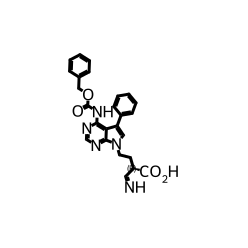 N=C[C@@H](CCn1cc(-c2ccccc2)c2c(NC(=O)OCc3ccccc3)ncnc21)C(=O)O